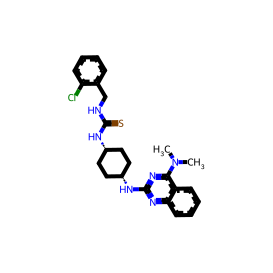 CN(C)c1nc(N[C@H]2CC[C@@H](NC(=S)NCc3ccccc3Cl)CC2)nc2ccccc12